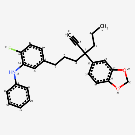 C#CC(CCC)(CCCc1ccc(F)c(Nc2ccccc2)c1)c1ccc2c(c1)OCO2